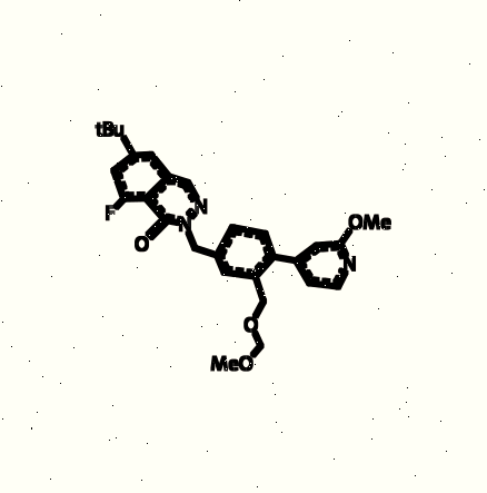 COCOCc1cc(Cn2ncc3cc(C(C)(C)C)cc(F)c3c2=O)ccc1-c1ccnc(OC)c1